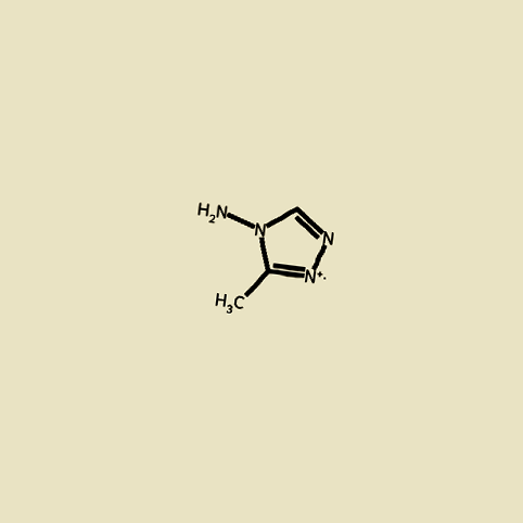 CC1=[N+]N=CN1N